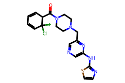 O=C(C1C=CC=CC1(F)Cl)N1CCN(Cc2cncc(Nc3nccs3)n2)CC1